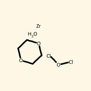 C1COCCO1.ClOCl.O.[Zr]